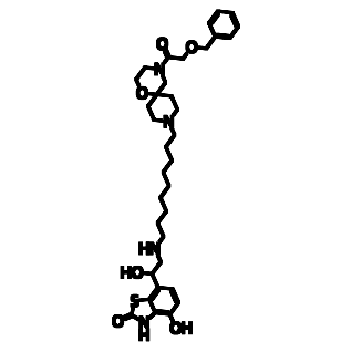 O=C(COCc1ccccc1)N1CCOC2(CCN(CCCCCCCCCNCC(O)c3ccc(O)c4[nH]c(=O)sc34)CC2)C1